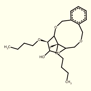 CCCCO[C@@H]1C(O)OC2COCc3ccccc3COC1[C@H]2OCCCC